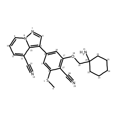 CSc1cc(-c2cnn3cccc(C#N)c23)cc(OCC2(N)CCCCC2)c1C#N